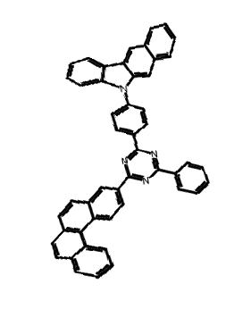 c1ccc(-c2nc(-c3ccc(-n4c5ccccc5c5cc6ccccc6cc54)cc3)nc(-c3ccc4c(ccc5ccc6ccccc6c54)c3)n2)cc1